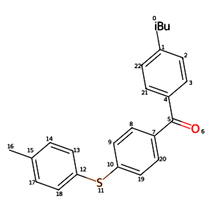 CCC(C)c1ccc(C(=O)c2ccc(Sc3ccc(C)cc3)cc2)cc1